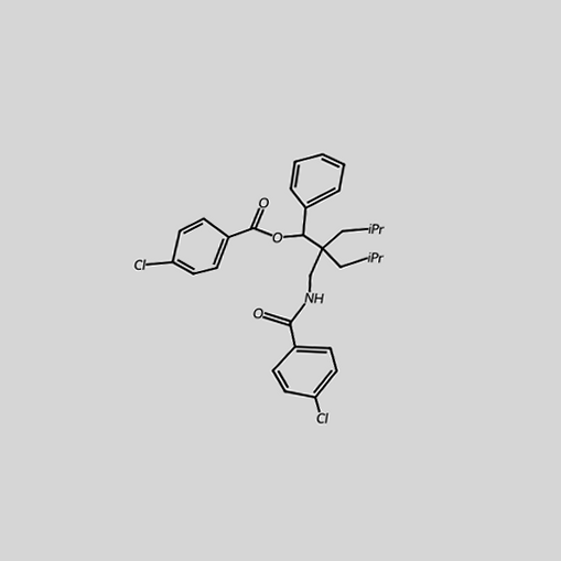 CC(C)CC(CNC(=O)c1ccc(Cl)cc1)(CC(C)C)C(OC(=O)c1ccc(Cl)cc1)c1ccccc1